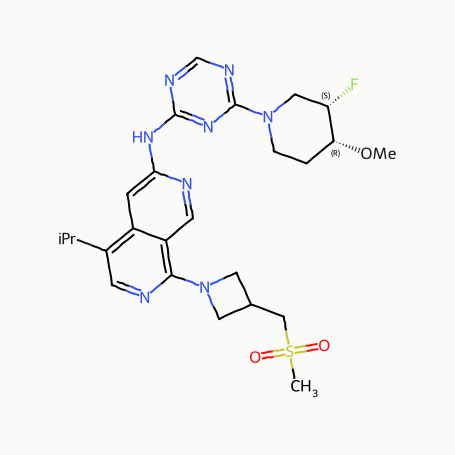 CO[C@@H]1CCN(c2ncnc(Nc3cc4c(C(C)C)cnc(N5CC(CS(C)(=O)=O)C5)c4cn3)n2)C[C@@H]1F